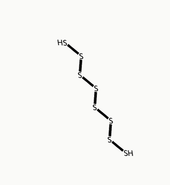 SSSSSSSS